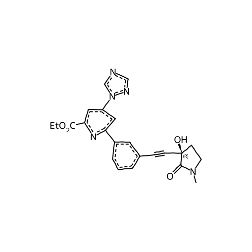 CCOC(=O)c1cc(-n2cncn2)cc(-c2cccc(C#C[C@]3(O)CCN(C)C3=O)c2)n1